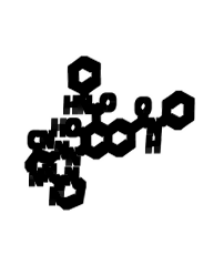 N#Cc1cnn(-c2ncccn2)c1/N=N/c1cc2ccc(C(=O)Nc3ccccc3)cc2c(C(=O)Nc2ccccc2)c1O